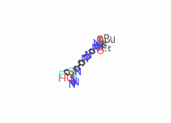 CCCCO[C@@H](C)[C@H](CC)n1ncn(-c2ccc(N3CCN(c4ccc(-c5ccc(C(F)(F)C(O)(Cn6ncnc6C)c6cccc(F)c6)nc5)cc4)CC3)cc2)c1=O